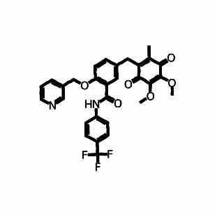 COC1=C(OC)C(=O)C(Cc2ccc(OCc3cccnc3)c(C(=O)Nc3ccc(C(F)(F)F)cc3)c2)=C(C)C1=O